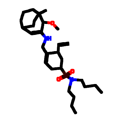 C=CC1CC(S(=O)(=O)N(CCCC)CCCC)CC=C1CNC1=CC2CCCC(C)(CC2)C1OC